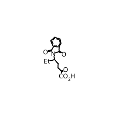 CCC(CCC(=O)C(=O)O)N1C(=O)c2ccccc2C1=O